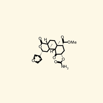 COC(=O)[C@@H]1C[C@H](OC(N)=O)C(=O)[C@H]2[C@@]1(C)CC[C@H]1C(=O)O[C@@H](c3ccoc3)C[C@]21C